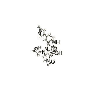 CC(=O)N1CCc2c(c(C(C3CNc4ccc(-c5cnn(C)c5)cc4C3)S(=O)(=O)O)nn2C2CCOC2)C1